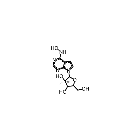 C[C@@]1(O)C(O)C(CO)OC1n1ccc2c(NO)ncnc21